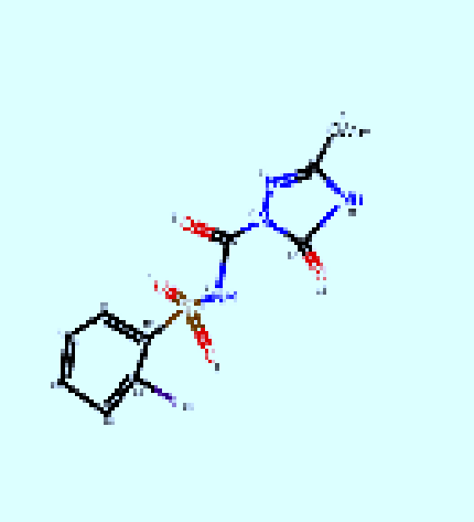 COc1nn(C(=O)NS(=O)(=O)c2ccccc2I)c(=O)[nH]1